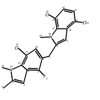 Cc1cc2c(F)c(Cc3cc4c(Cl)ccc(Cl)c4n3C)cc(Cl)c2n1C